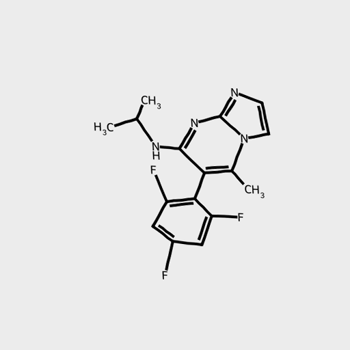 Cc1c(-c2c(F)cc(F)cc2F)c(NC(C)C)nc2nccn12